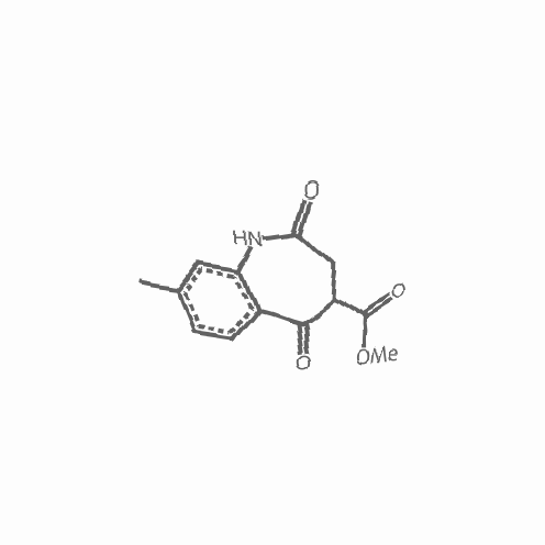 COC(=O)C1CC(=O)Nc2cc(C)ccc2C1=O